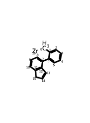 Cc1ccccc1-c1cccc2c1C=C[CH]2.[Zr]